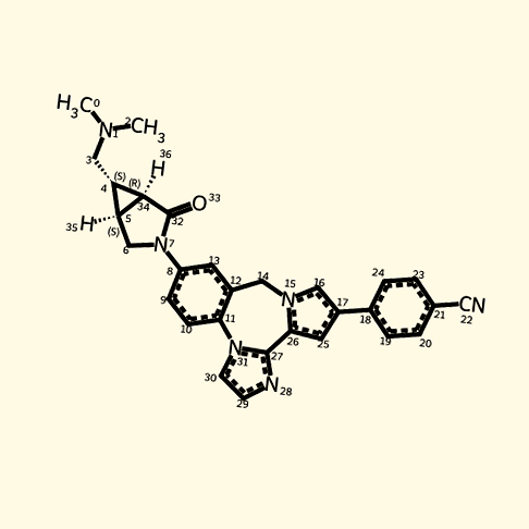 CN(C)C[C@H]1[C@@H]2CN(c3ccc4c(c3)Cn3cc(-c5ccc(C#N)cc5)cc3-c3nccn3-4)C(=O)[C@H]12